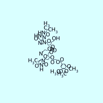 COc1cc(C(=O)OCC(=O)OC2CC(n3cc(C)c(=O)[nH]c3=O)OC2COP(=O)(OCCC#N)OC2CC(n3cnc4c(=O)[nH]c(NC(=O)C(C)C)nc43)OC2CO)cc(OC)c1OC